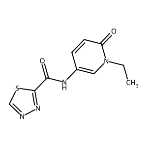 CCn1cc(NC(=O)c2nncs2)ccc1=O